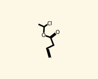 [CH]=CCC(=O)OC(C)Cl